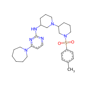 Cc1ccc(S(=O)(=O)N2CCCC(N3CCCC(Nc4nccc(N5CCCCCC5)n4)C3)C2)cc1